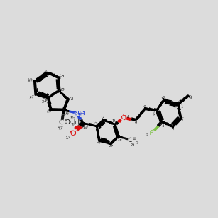 Cc1ccc(F)c(CCOc2cc(C(=O)NC3(C(=O)O)Cc4ccccc4C3)ccc2C(F)(F)F)c1